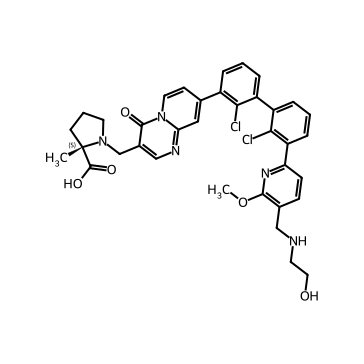 COc1nc(-c2cccc(-c3cccc(-c4ccn5c(=O)c(CN6CCC[C@@]6(C)C(=O)O)cnc5c4)c3Cl)c2Cl)ccc1CNCCO